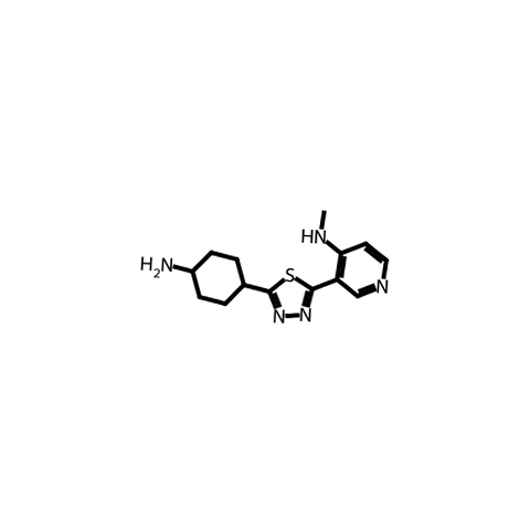 CNc1ccncc1-c1nnc(C2CCC(N)CC2)s1